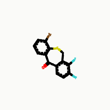 O=C1c2ccc(F)c(F)c2CSc2c(Br)cccc21